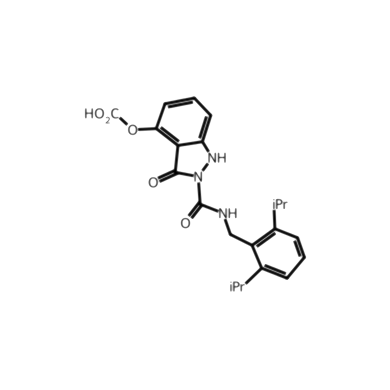 CC(C)c1cccc(C(C)C)c1CNC(=O)n1[nH]c2cccc(OC(=O)O)c2c1=O